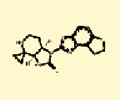 O=C1N[C@@H]2[C@@H](CCNC23CC3)N1c1nc2c3c(ccc2s1)OCC3